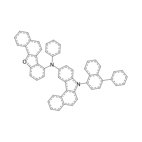 c1ccc(-c2ccc(-n3c4ccc(N(c5ccccc5)c5cccc6oc7c8ccccc8ccc7c56)cc4c4c5ccccc5ccc43)c3ccccc23)cc1